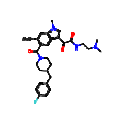 COc1cc2c(cc1C(=O)N1CCC(Cc3ccc(F)cc3)CC1)c(C(=O)C(=O)NCCN(C)C)cn2C